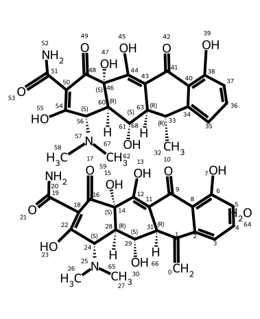 C=C1c2cccc(O)c2C(=O)C2=C(O)[C@]3(O)C(=O)C(C(N)=O)=C(O)[C@@H](N(C)C)[C@@H]3[C@@H](O)[C@H]12.C[C@H]1c2cccc(O)c2C(=O)C2=C(O)[C@]3(O)C(=O)C(C(N)=O)=C(O)[C@@H](N(C)C)[C@@H]3[C@@H](O)[C@@H]21.O